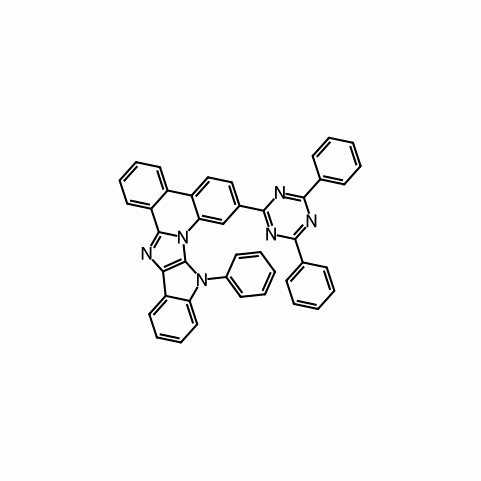 c1ccc(-c2nc(-c3ccccc3)nc(-c3ccc4c5ccccc5c5nc6c7ccccc7n(-c7ccccc7)c6n5c4c3)n2)cc1